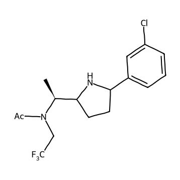 CC(=O)N(CC(F)(F)F)[C@@H](C)C1CCC(c2cccc(Cl)c2)N1